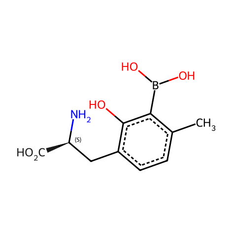 Cc1ccc(C[C@H](N)C(=O)O)c(O)c1B(O)O